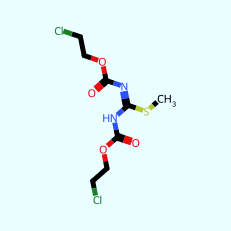 CSC(=NC(=O)OCCCl)NC(=O)OCCCl